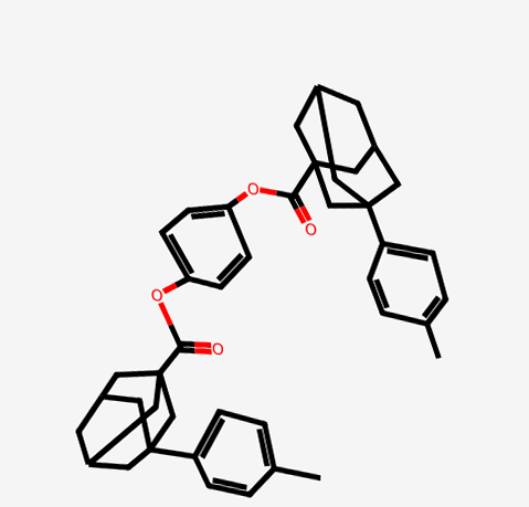 Cc1ccc(C23CC4CC(CC(C(=O)Oc5ccc(OC(=O)C67CC8CC(C6)CC(c6ccc(C)cc6)(C8)C7)cc5)(C4)C2)C3)cc1